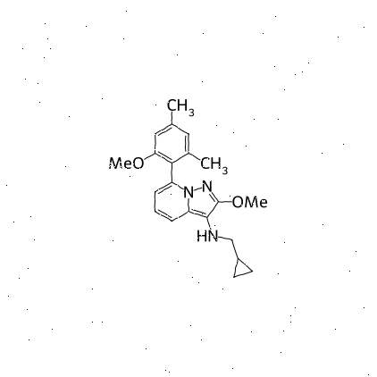 COc1cc(C)cc(C)c1-c1cccc2c(NCC3CC3)c(OC)nn12